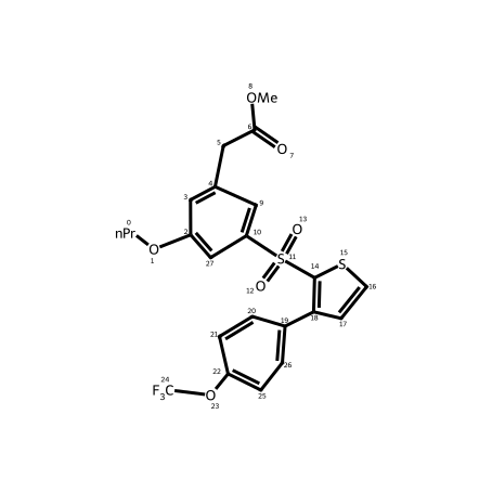 CCCOc1cc(CC(=O)OC)cc(S(=O)(=O)c2sccc2-c2ccc(OC(F)(F)F)cc2)c1